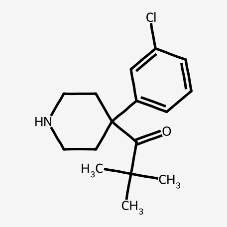 CC(C)(C)C(=O)C1(c2cccc(Cl)c2)CCNCC1